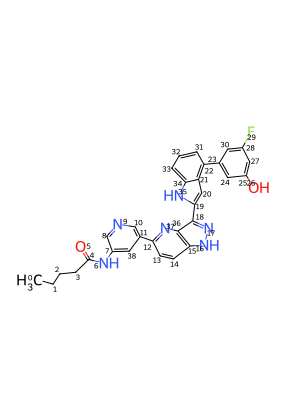 CCCCC(=O)Nc1cncc(-c2ccc3[nH]nc(-c4cc5c(-c6cc(O)cc(F)c6)cccc5[nH]4)c3n2)c1